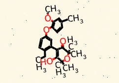 CCc1ccc(Oc2ccc(C)cc2OC)cc1C1=C(O)C(C)(C)OC(C)(C)C1=O